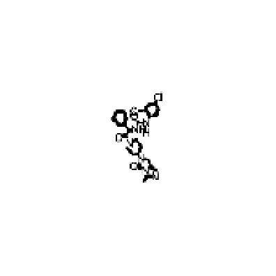 Cc1ncc2n1C(=O)N(C1CCN(C(=O)C(NC(=O)Nc3ccc(Cl)cc3Cl)c3ccccc3)CC1)C2